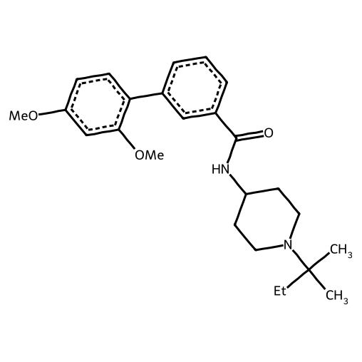 CCC(C)(C)N1CCC(NC(=O)c2cccc(-c3ccc(OC)cc3OC)c2)CC1